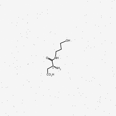 N[C@@H](CC(=O)O)C(=O)NCCCO